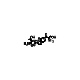 C[C@@H](O)[C@H](NC(=O)[C@@H]1CSC2(CCN(C(=O)C(N)CO)CC2)N1)C(N)=O